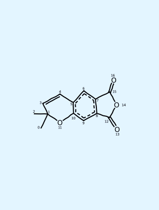 CC1(C)C=Cc2cc3c(cc2O1)C(=O)OC3=O